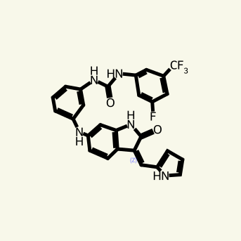 O=C(Nc1cccc(Nc2ccc3c(c2)NC(=O)/C3=C\c2ccc[nH]2)c1)Nc1cc(F)cc(C(F)(F)F)c1